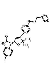 CC1(C)O/C(=C2/C(=O)Nc3cc(F)ccc32)C=C1c1ccc(NCCn2ccnc2)nc1